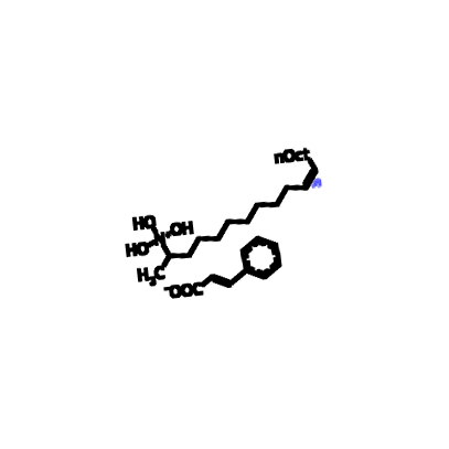 CCCCCCCC/C=C\CCCCCCCCC(C)[N+](O)(O)O.O=C([O-])C=Cc1ccccc1